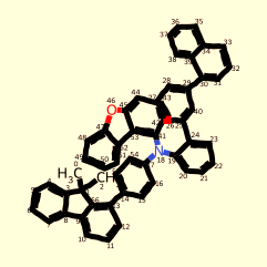 CC1(C)c2ccccc2-c2cccc(-c3ccc(N(c4ccccc4-c4cccc(-c5cccc6ccccc56)c4)c4cccc5oc6ccccc6c45)cc3)c21